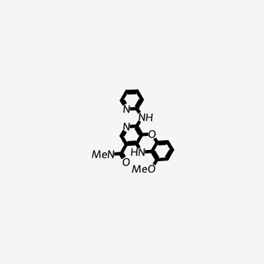 CNC(=O)c1cnc(Nc2ccccn2)c2c1Nc1c(OC)cccc1O2